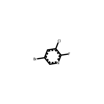 Fc1ncc(Br)cc1Cl